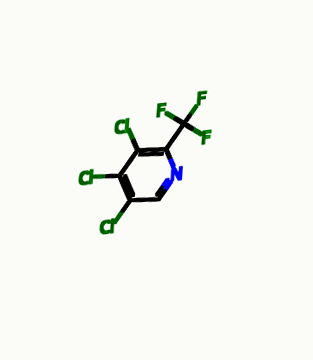 FC(F)(F)c1ncc(Cl)c(Cl)c1Cl